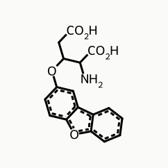 NC(C(=O)O)C(CC(=O)O)Oc1ccc2oc3ccccc3c2c1